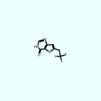 O=c1[nH]cnc2cc(CC(F)(F)F)sc12